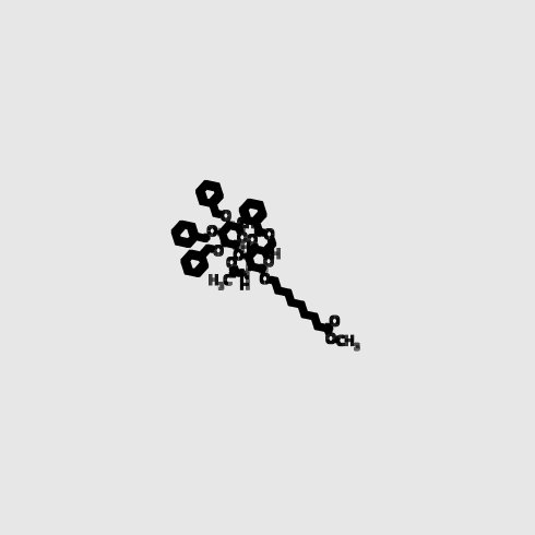 COC(=O)CCCCCCCCO[C@@H]1O[C@@H]2COC(c3ccccc3)O[C@H]2[C@H](O[C@@H]2O[C@@H](C)[C@@H](OCc3ccccc3)[C@@H](OCc3ccccc3)[C@@H]2OCc2ccccc2)[C@H]1NC(C)=O